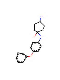 NC1CCC(O)(Nc2ccc(Oc3ccccc3)cc2)CC1